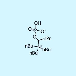 CCCC[N+](CCCC)(CCCC)C(CCC)OP(=O)([O-])O